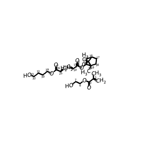 C=C(C)C(=O)OCCO.C=CC(=O)OC1CC2CCC1(C)C2(C)C.C=CC(=O)OCCCCO